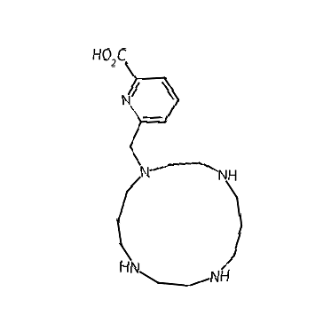 O=C(O)c1cccc(CN2CCCNCCNCCCNCC2)n1